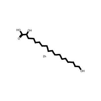 O=C(O)C(O)CCCCCCCCCCCCCCCCO.[Zn]